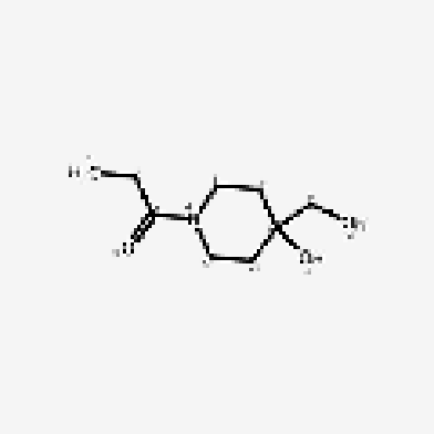 CCC(=O)N1CCC(O)(CO)CC1